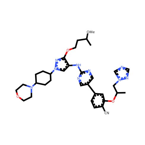 COC(C)CCOc1nn(C2CCC(N3CCOCC3)CC2)cc1Nc1ncc(-c2ccc(C#N)c(OC(C)Cn3cncn3)c2)cn1